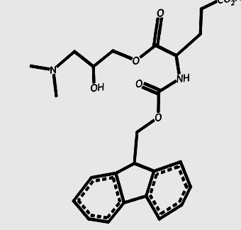 CN(C)CC(O)COC(=O)C(CCC(=O)O)NC(=O)OCC1c2ccccc2-c2ccccc21